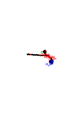 CCCCCCCCCCCCCCCCCCOC[C@H](COP(=O)(O)OC[C@H]1O[C@@](C#N)(c2ccc3c(N)ncnn23)[C@H](O)[C@@H]1O)OCc1ccccc1Cl